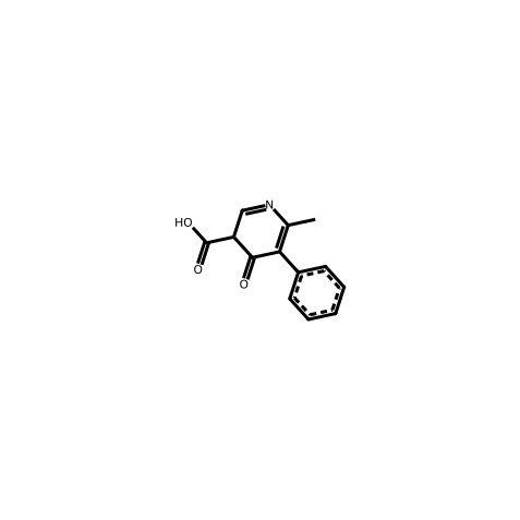 CC1=C(c2ccccc2)C(=O)C(C(=O)O)C=N1